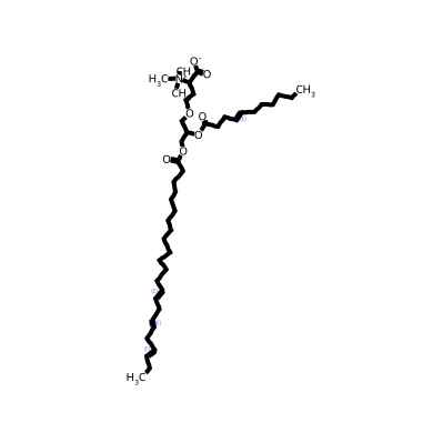 CC/C=C/C/C=C/C/C=C/CCCCCCCCCCCCC(=O)OCC(COCCC(C(=O)[O-])[N+](C)(C)C)OC(=O)CC/C=C/CCCCCC